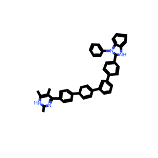 CC1=C(C)C(c2ccc(C3C=CC(c4cccc(-c5ccc(C6Nc7ccccc7N6c6ccccc6)cc5)c4)=CC3)cc2)=NC(C)N1